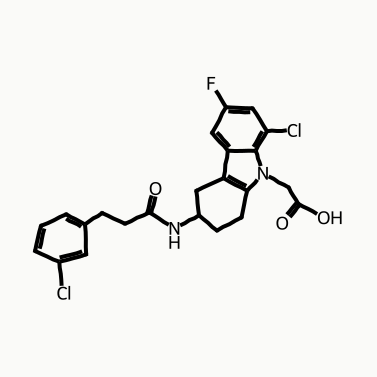 O=C(O)Cn1c2c(c3cc(F)cc(Cl)c31)CC(NC(=O)CCc1cccc(Cl)c1)CC2